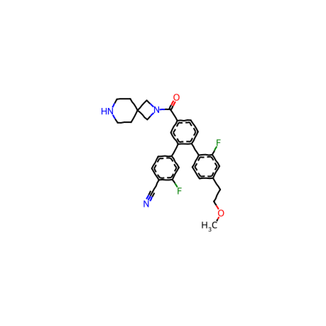 COCCc1ccc(-c2ccc(C(=O)N3CC4(CCNCC4)C3)cc2-c2ccc(C#N)c(F)c2)c(F)c1